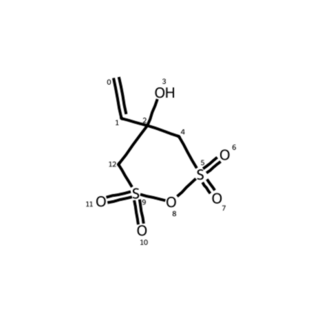 C=CC1(O)CS(=O)(=O)OS(=O)(=O)C1